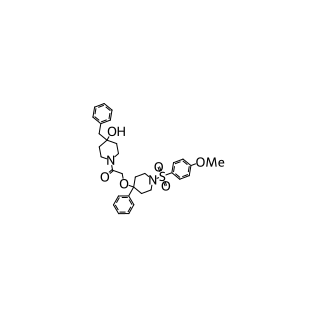 COc1ccc(S(=O)(=O)N2CCC(OCC(=O)N3CCC(O)(Cc4ccccc4)CC3)(c3ccccc3)CC2)cc1